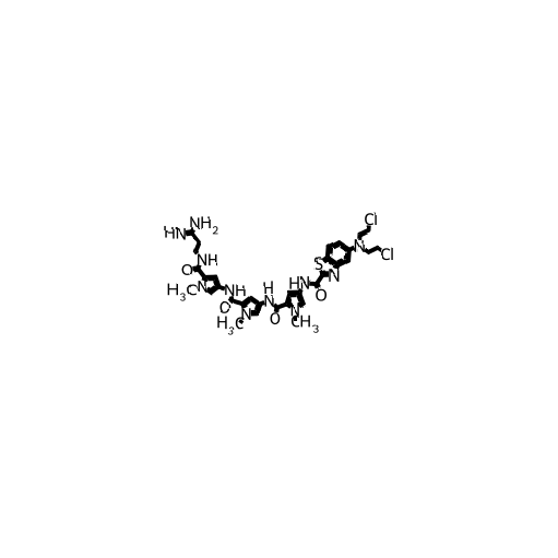 Cn1cc(NC(=O)c2cc(NC(=O)c3cc(NC(=O)c4nc5cc(N(CCCl)CCCl)ccc5s4)cn3C)cn2C)cc1C(=O)NCCC(=N)N